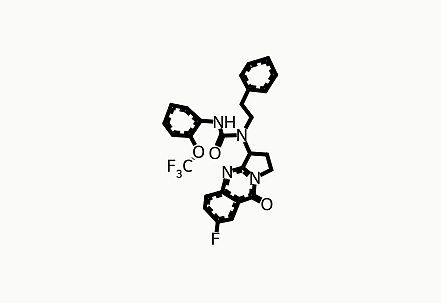 O=C(Nc1ccccc1OC(F)(F)F)N(CCc1ccccc1)C1CCn2c1nc1ccc(F)cc1c2=O